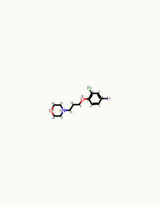 Fc1cc(I)ccc1OCCCN1CCOCC1